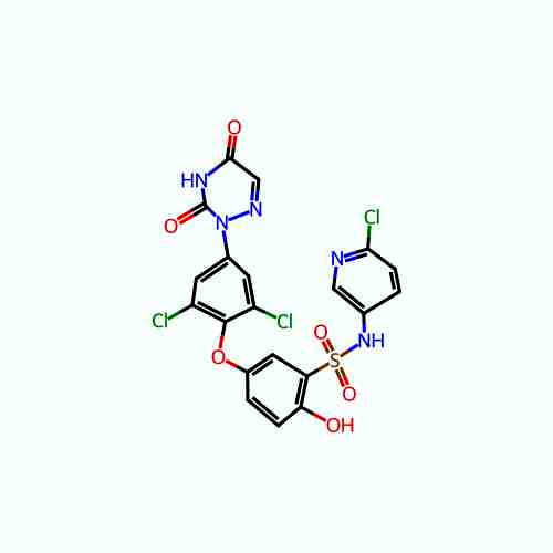 O=c1cnn(-c2cc(Cl)c(Oc3ccc(O)c(S(=O)(=O)Nc4ccc(Cl)nc4)c3)c(Cl)c2)c(=O)[nH]1